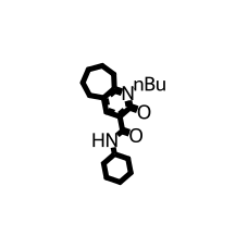 CCCCn1c2c(cc(C(=O)NC3CCCCC3)c1=O)CCCCC2